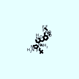 CC(C)(C)CC[C@@](CC#N)([C@H](F)CN)N(N)c1cc[nH]c(=O)c1Cc1ccc2c(c1)CN(CC(F)(F)F)S2(=O)=O